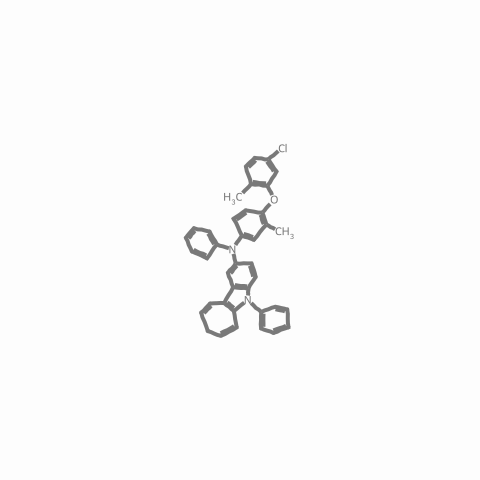 Cc1cc(N(c2ccccc2)c2ccc3c(c2)c2c(n3-c3ccccc3)C=CCC=C2)ccc1Oc1cc(Cl)ccc1C